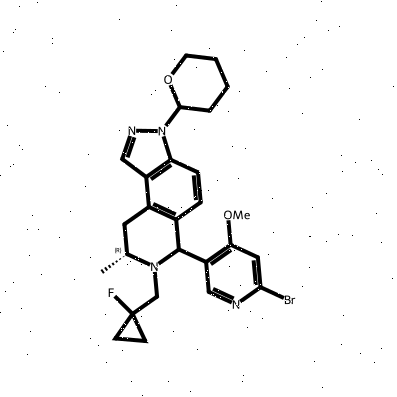 COc1cc(Br)ncc1C1c2ccc3c(cnn3C3CCCCO3)c2C[C@@H](C)N1CC1(F)CC1